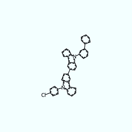 Clc1ccc(-n2c3ccccc3c3cc(-c4ccc5c(c4)c4ccccc4n5-c4cccc(-c5ccccc5)c4)ccc32)cc1